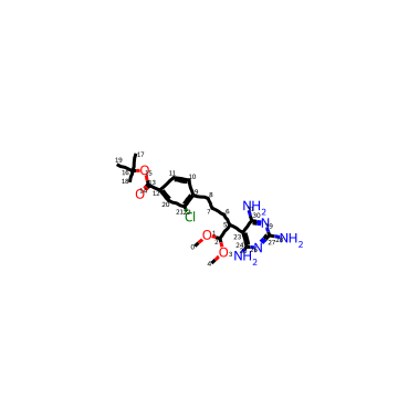 COC(OC)C(CCCc1ccc(C(=O)OC(C)(C)C)cc1Cl)c1c(N)nc(N)nc1N